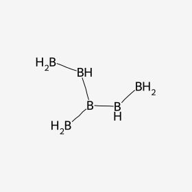 BBB(B)BB